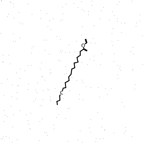 C=COC(=C)CCCCCCCCCCCCCCCCCC